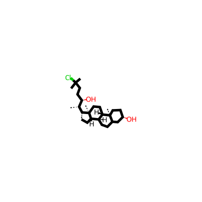 C[C@@H]([C@H]1CC[C@H]2[C@@H]3CCC4C[C@@H](O)CC[C@]4(C)[C@H]3CC[C@]12C)[C@@H](O)CCC(C)(C)Cl